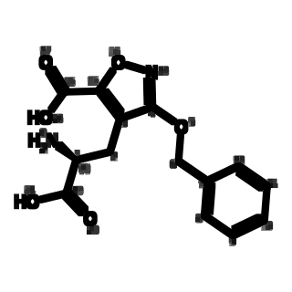 N[C@@H](Cc1c(OCc2ccccc2)noc1C(=O)O)C(=O)O